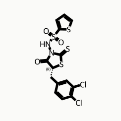 O=C1[C@@H](Cc2ccc(Cl)c(Cl)c2)SC(=S)N1NS(=O)(=O)c1cccs1